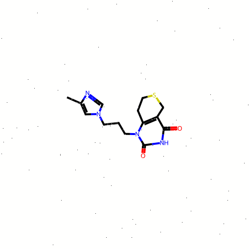 Cc1cn(CCCn2c3c(c(=O)[nH]c2=O)CSCC3)cn1